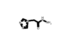 NNC(=O)Cn1cnnc1